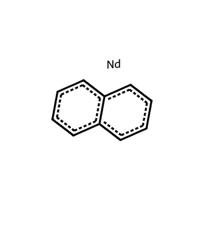 [Nd].c1ccc2ccccc2c1